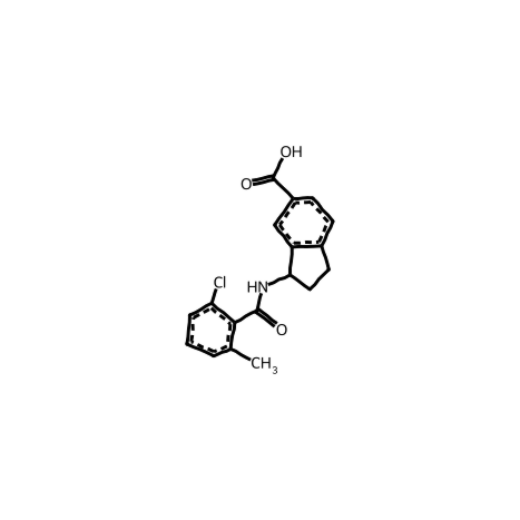 Cc1cccc(Cl)c1C(=O)NC1CCc2ccc(C(=O)O)cc21